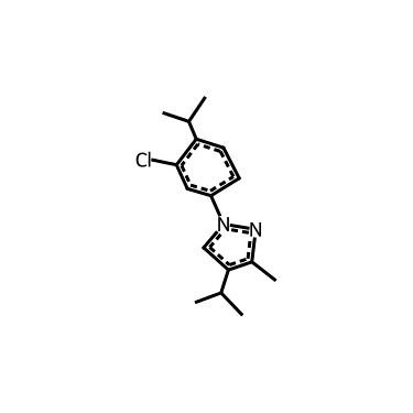 Cc1nn(-c2ccc(C(C)C)c(Cl)c2)cc1C(C)C